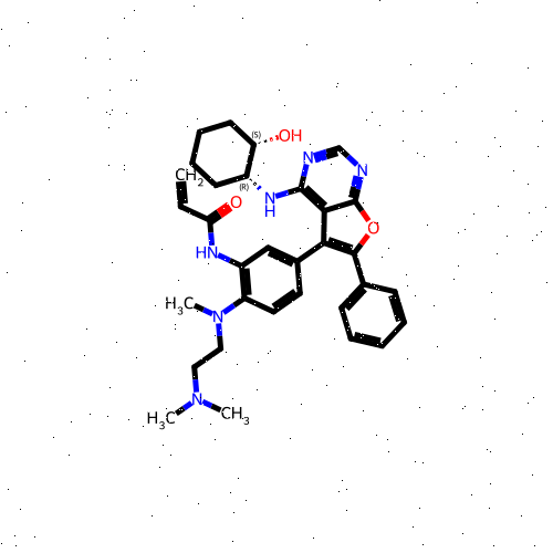 C=CC(=O)Nc1cc(-c2c(-c3ccccc3)oc3ncnc(N[C@@H]4CCCC[C@@H]4O)c23)ccc1N(C)CCN(C)C